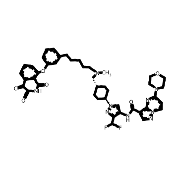 CN(CCCCCc1cccc(Oc2cccc3c2C(=O)NC(=O)C3=O)c1)C[C@H]1CC[C@H](n2cc(NC(=O)c3cnn4ccc(N5CCOCC5)nc34)c(C(F)F)n2)CC1